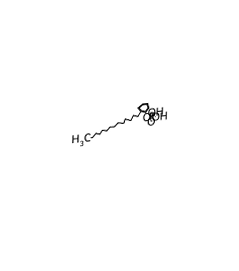 CCCCCCCCCCCCCCc1ccccc1OP(=O)(O)O